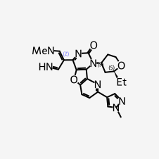 CC[C@H]1C[C@@H](n2c(=O)nc(/C(C=N)=C/NC)c3oc4ccc(-c5cnn(C)c5)nc4c32)CCO1